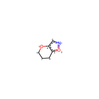 c1noc2c1OCCC2